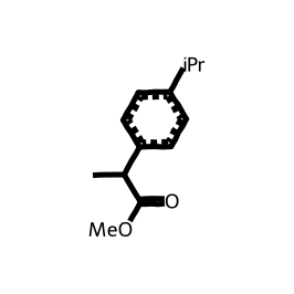 COC(=O)C(C)c1ccc(C(C)C)cc1